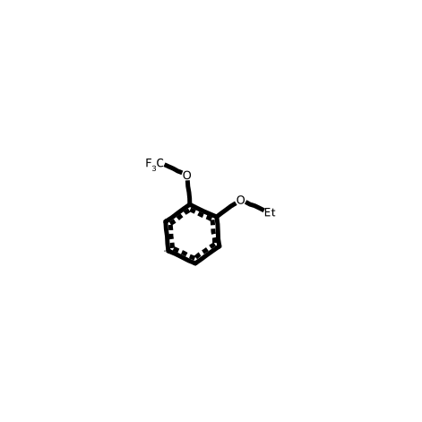 CCOc1cc[c]cc1OC(F)(F)F